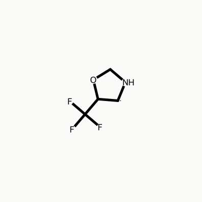 FC(F)(F)C1[CH]NCO1